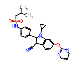 CC(C)CS(=O)(=O)Nc1ccc(C2C(C#N)c3ccc(Oc4ncccn4)cc3N2C2CC2)cc1